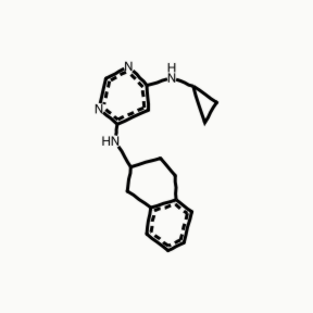 c1ccc2c(c1)CCC(Nc1cc(NC3CC3)ncn1)C2